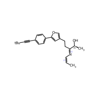 C/C=C\N=C(/CCc1coc(-c2ccc(C#CC(C)(C)C)cc2)c1)[C@H](C)O